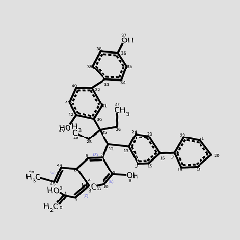 C=C(O)/C=C\C(/C=C(\C(O)=C/C)C(c1ccc(-c2ccccc2)cc1)C(CC)(CC)c1cc(-c2ccc(O)cc2)ccc1O)/C=C/C